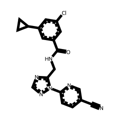 N#Cc1ccc(-n2ncnc2CNC(=O)c2cc(Cl)cc(C3CC3)c2)nc1